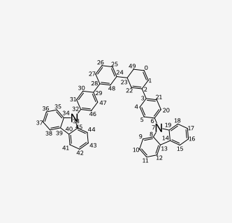 C1=CC(c2ccc(-n3c4ccccc4c4ccccc43)cc2)=CC(c2cccc(-c3ccc(-n4c5ccccc5c5ccccc54)cc3)c2)C1